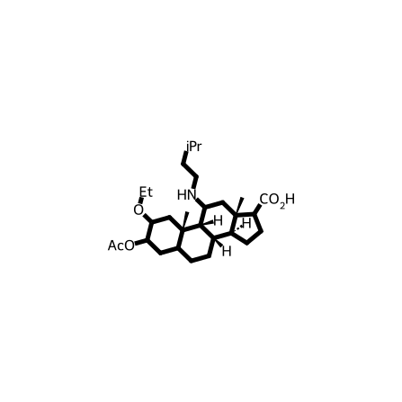 CCOC1C[C@@]2(C)C(CC[C@@H]3[C@H]2C(NCCC(C)C)C[C@]2(C)C(C(=O)O)CC[C@@H]32)CC1OC(C)=O